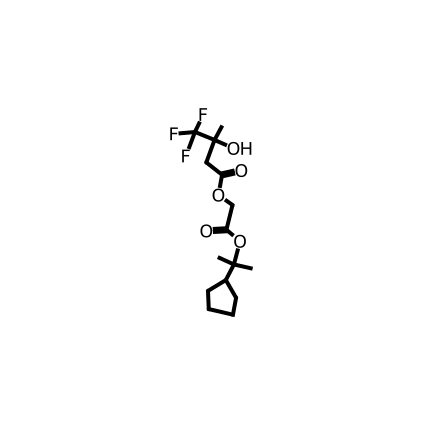 CC(C)(OC(=O)COC(=O)CC(C)(O)C(F)(F)F)C1CCCC1